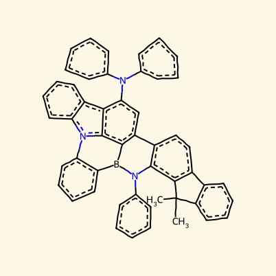 CC1(C)c2ccccc2-c2ccc3c(c21)N(c1ccccc1)B1c2ccccc2-n2c4ccccc4c4c(N(c5ccccc5)c5ccccc5)cc-3c1c42